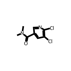 CN(C)C(=O)c1cnc(Cl)c(Cl)c1